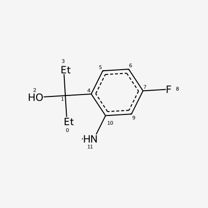 CCC(O)(CC)c1ccc(F)cc1[NH]